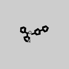 c1ccc(-c2ccc(COC(c3ccccc3)c3cccnc3)cc2)cc1